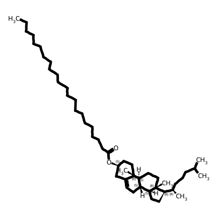 CCCCCCCCCCCCCCCCCCCCCC(=O)O[C@H]1CC[C@@]2(C)C(=CC[C@H]3[C@@H]4CC[C@H]([C@H](C)CCCC(C)C)[C@@]4(C)CC[C@@H]32)C1